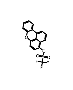 O=S(=O)(Oc1ccc2c3c(cccc13)-c1ccccc1O2)C(F)(F)F